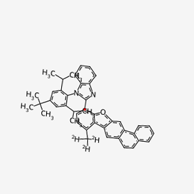 [2H]C([2H])([2H])c1ccc(-c2nc3ccccc3n2-c2c(C(C)C)cc(C(C)(C)C)cc2C(C)C)c2oc3cc4c(ccc5ccccc54)cc3c12